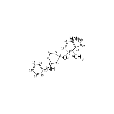 Cc1c(O[C@@H]2CCC[C@H](Nc3ccccc3)C2)ccc2[nH]ncc12